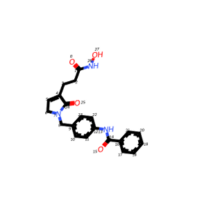 O=C(CCC1=CCN(Cc2ccc(NC(=O)c3ccccc3)cc2)C1=O)NO